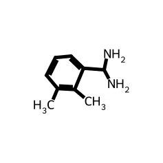 Cc1cccc(C(N)N)c1C